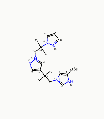 CC(C)(C)c1c[n+](CC(C)(C)c2c[nH][n+](CC(C)(C)n3cccn3)c2)c[nH]1